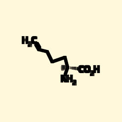 C=CCCC[C@@H](N)C(=O)O